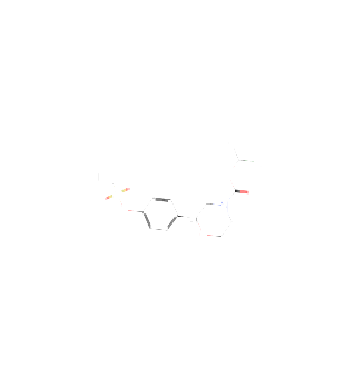 CC(Cl)OC(=O)N1CCO[C@@H](c2ccc(OS(C)(=O)=O)cc2)C1